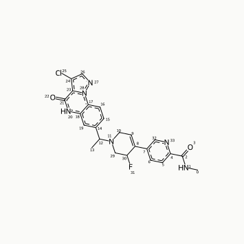 CNC(=O)c1ccc(C2=CCN(C(C)c3ccc4c(c3)[nH]c(=O)c3c(Cl)cnn34)CC2F)cn1